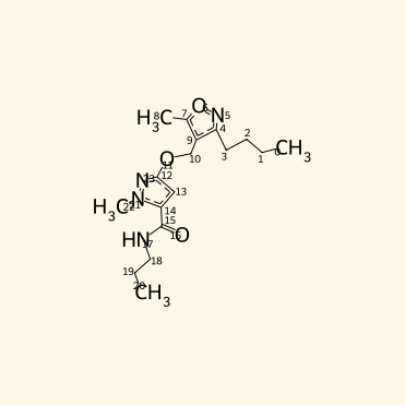 CCCCc1noc(C)c1COc1cc(C(=O)NCCC)n(C)n1